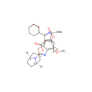 COC(=O)c1cc(OC(F)(F)F)c2nc(N3[C@@H]4CC[C@H]3C[C@H](OC(=O)c3c(C56CCC(CC5)CC6)noc3C3CC3)C4)sc2c1